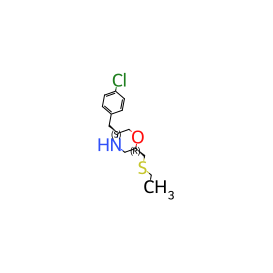 CCSC[C@H]1CN[C@@H](Cc2ccc(Cl)cc2)CO1